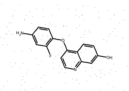 Nc1ccc(Oc2ccnc3cc(O)ccc23)c(F)c1